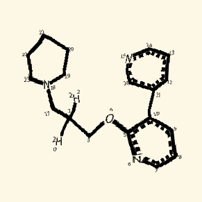 [2H]C([2H])(COc1ncccc1-c1cccnc1)CN1CCCCC1